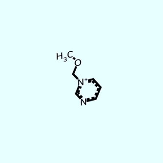 COC[n+]1cccnc1